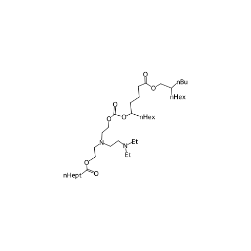 CCCCCCCC(=O)OCCN(CCOC(=O)OC(CCCCCC)CCCC(=O)OCC(CCCC)CCCCCC)CCN(CC)CC